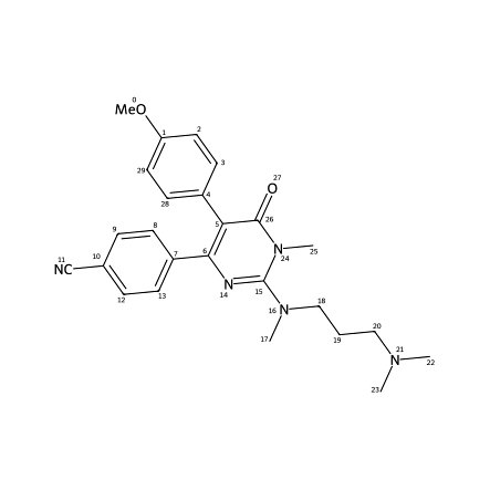 COc1ccc(-c2c(-c3ccc(C#N)cc3)nc(N(C)CCCN(C)C)n(C)c2=O)cc1